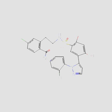 NC(=O)c1ccc(Cl)cc1CCNS(=O)(=O)c1cc(-c2ccnn2-c2ccccc2Cl)c(O)cc1O